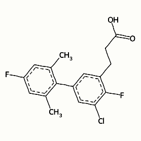 Cc1cc(F)cc(C)c1-c1cc(Cl)c(F)c(CCC(=O)O)c1